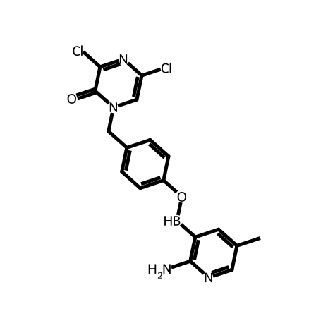 Cc1cnc(N)c(BOc2ccc(Cn3cc(Cl)nc(Cl)c3=O)cc2)c1